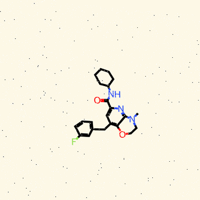 CN1CCOc2c(Cc3cccc(F)c3)cc(C(=O)NC3CCCCC3)nc21